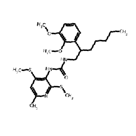 CCCCCC(CNC(=O)Nc1c(SC)cc(C)nc1SC)c1cccc(OC)c1OC